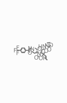 CCCC(C)(C)[C@@H](C(=O)C(=O)NN1CCOC1=O)N(C(=O)O)[C@H](CC)Cc1nnc(-c2ccc(C(F)(F)F)cc2)o1